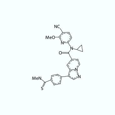 CNC(=S)c1ccc(-c2cnn3ccc(C(=O)N(c4ccc(C#N)c(OC)n4)C4CC4)cc23)cc1